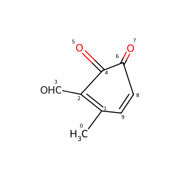 CC1=C(C=O)C(=O)C(=O)C=C1